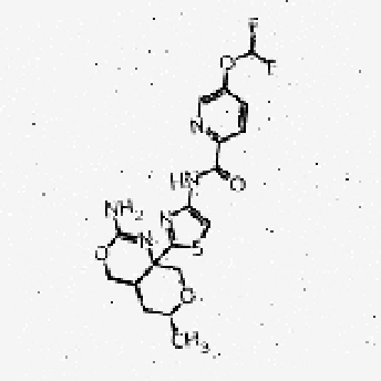 C[C@H]1CC2COC(N)=NC2(c2nc(NC(=O)c3ccc(OC(F)F)cn3)cs2)CO1